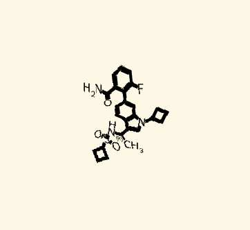 C[C@@H](NS(=O)(=O)C1CCC1)c1cn(C2CCC2)c2cc(-c3c(F)cccc3C(N)=O)ccc12